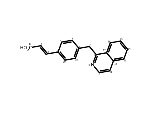 O=C(O)C=Cc1ccc(Cc2nccc3ccccc23)cc1